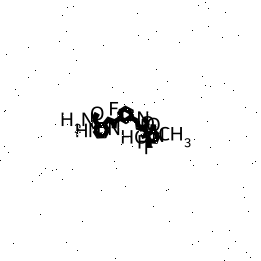 CN1CC(F)(F)C(O)(c2cc(-c3ccc(F)c(-c4cc5c(C(N)=O)[nH]ccc-5n4)c3)no2)C1=O